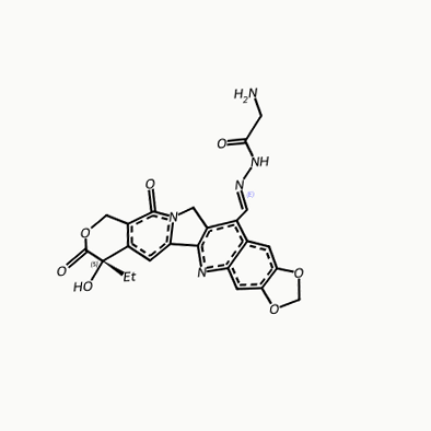 CC[C@@]1(O)C(=O)OCc2c1cc1n(c2=O)Cc2c-1nc1cc3c(cc1c2/C=N/NC(=O)CN)OCO3